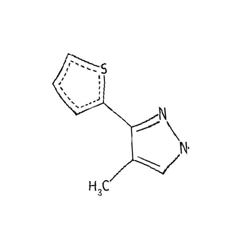 CC1=C[N]N=C1c1cccs1